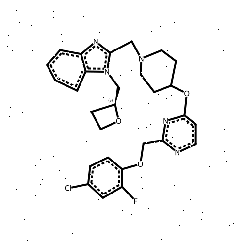 Fc1cc(Cl)ccc1OCc1nccc(OC2CCN(Cc3nc4ccccc4n3C[C@@H]3CCO3)CC2)n1